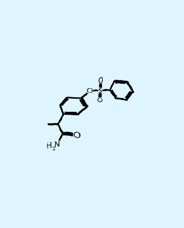 CC(C(N)=O)c1ccc(OS(=O)(=O)c2ccccc2)cc1